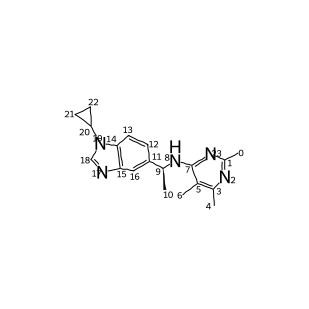 Cc1nc(C)c(C)c(N[C@@H](C)c2ccc3c(c2)ncn3C2CC2)n1